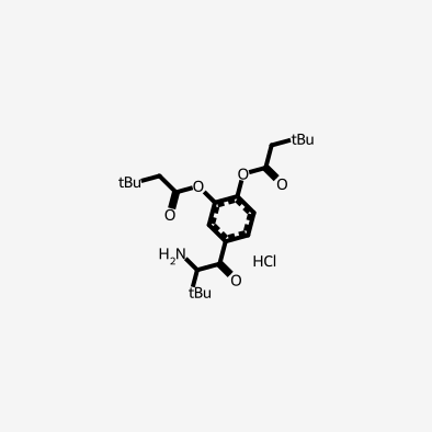 CC(C)(C)CC(=O)Oc1ccc(C(=O)C(N)C(C)(C)C)cc1OC(=O)CC(C)(C)C.Cl